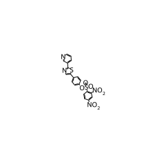 O=[N+]([O-])c1ccc(S(=O)(=O)Oc2ccc(-c3cnc(-c4cccnc4)s3)cc2)c([N+](=O)[O-])c1